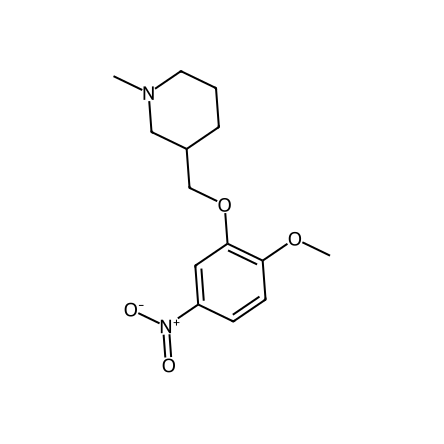 COc1ccc([N+](=O)[O-])cc1OCC1CCCN(C)C1